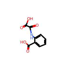 O=C(O)C(=O)Nc1ccccc1C(=O)O